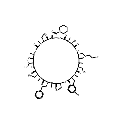 CC[C@H]1C(=O)N[C@@H](CCCCO)C(=O)N(C)[C@@H](CC(C)C)C(=O)N(C)[C@@H](Cc2cccc(Cl)c2)C(=O)N[C@@H](CC(C)C)C(=O)N(C)[C@@H](CCc2ccccc2)C(=O)N(C)[C@@H](CC(C)C)C(=O)N[C@@H]([C@@H](C)O)C(=O)N(C)CC(=O)N(C)[C@@H](CC(C)C)C(=O)N[C@H](C(=O)N2CCCCC2)CC(=O)N1C